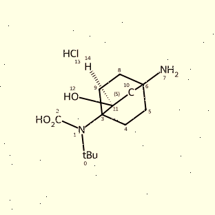 CC(C)(C)N(C(=O)O)C12CCC(N)(CC1)C[C@@H]2O.Cl